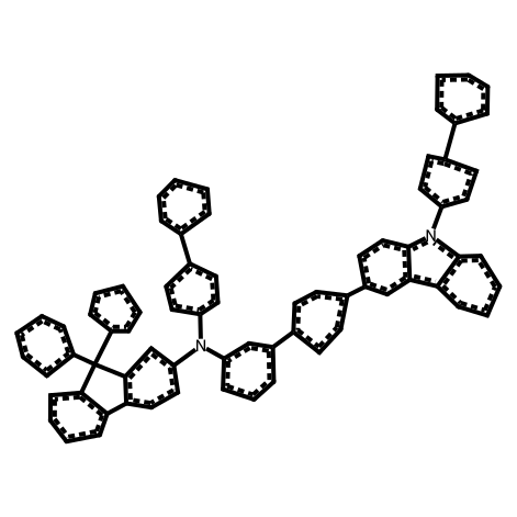 c1ccc(-c2ccc(N(c3cccc(-c4ccc(-c5ccc6c(c5)c5ccccc5n6-c5ccc(-c6ccccc6)cc5)cc4)c3)c3ccc4c(c3)C(c3ccccc3)(c3ccccc3)c3ccccc3-4)cc2)cc1